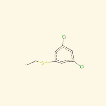 [CH2]CSc1cc(Cl)cc(Cl)c1